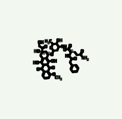 COc1cccc2c1C(=O)c1c(O)c3c(c(O)c1C2=O)C[C@@](O)(C(=O)CO)C[C@@H]3OC1CC(NOC(=O)[C@H](CCC(N)=O)NC(=O)Cc2ccccc2)C(O)C(C)O1